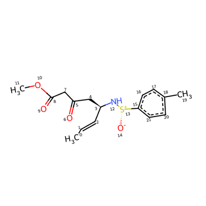 C/C=C/[C@@H](CC(=O)CC(=O)OC)N[S@@+]([O-])c1ccc(C)cc1